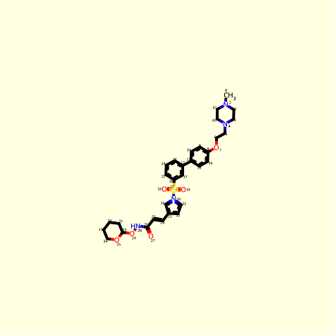 CN1CCN(CCOc2ccc(-c3cccc(S(=O)(=O)n4ccc(C=CC(=O)NOC5CCCCO5)c4)c3)cc2)CC1